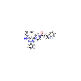 CC(=O)NCCNc1cc(N2CCN(C(=O)C=Cc3c[nH]c4ccccc34)CC2)nc(-c2ccccc2)n1